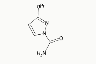 CCCc1ccn(C(N)=O)n1